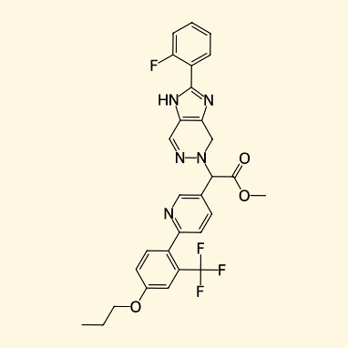 CCCOc1ccc(-c2ccc(C(C(=O)OC)N3Cc4nc(-c5ccccc5F)[nH]c4C=N3)cn2)c(C(F)(F)F)c1